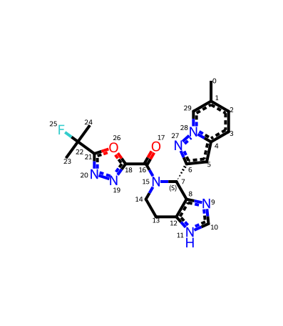 Cc1ccc2cc([C@@H]3c4nc[nH]c4CCN3C(=O)c3nnc(C(C)(C)F)o3)nn2c1